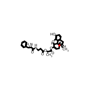 C[C@H](OC(=O)CCNC(=O)[C@@H](N)Cc1ccccc1)C(=O)OC1=CC[C@@]2(O)[C@H]3Cc4ccc(O)c5c4[C@@]2(CCN3C)[C@H]1O5